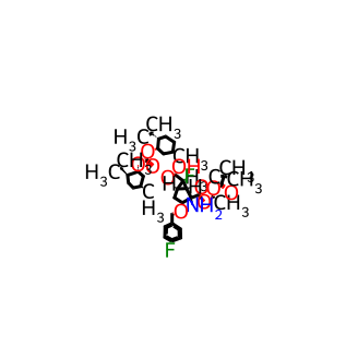 CC(C)[C@@H]1CC[C@@H](C)C[C@H]1OC(=O)O[C@@H]1C[C@H](C)CC[C@H]1C(C)C.C[C@@H](OC(=O)C(C)(C)C)OC(=O)[C@@]1(N)[C@H]2[C@@H](C[C@H]1OCc1ccc(F)cc1)[C@]2(F)C(=O)O